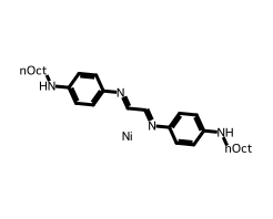 CCCCCCCCNc1ccc(N=CC=Nc2ccc(NCCCCCCCC)cc2)cc1.[Ni]